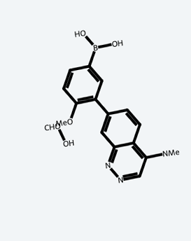 CNc1cnnc2cc(-c3cc(B(O)O)ccc3OC)ccc12.O=CO